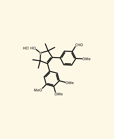 COc1ccc(C2=C(c3cc(OC)c(OC)c(OC)c3)C(C)(C)N(O)C2(C)C)cc1C=O.Cl